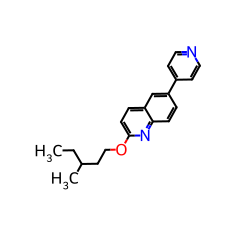 CCC(C)CCOc1ccc2cc(-c3ccncc3)ccc2n1